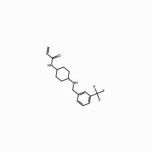 C=CC(=O)NC1CCC(NCc2cccc(C(F)(F)F)c2)CC1